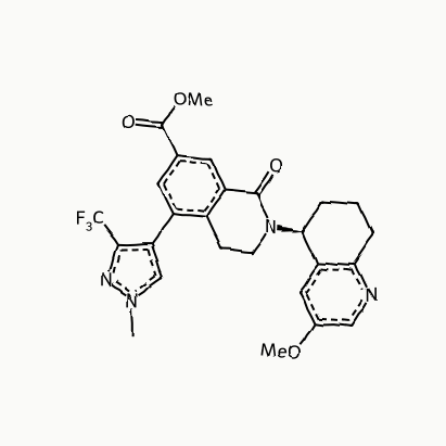 COC(=O)c1cc2c(c(-c3cn(C)nc3C(F)(F)F)c1)CCN([C@H]1CCCc3ncc(OC)cc31)C2=O